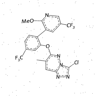 COc1ncc(C(F)(F)F)cc1-c1ccc(C(F)(F)F)cc1Oc1nn2c(Cl)nnc2cc1C